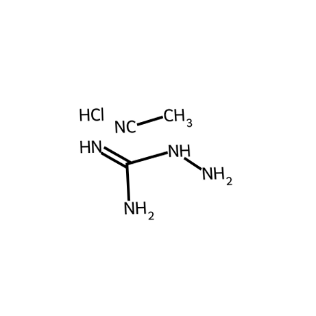 CC#N.Cl.N=C(N)NN